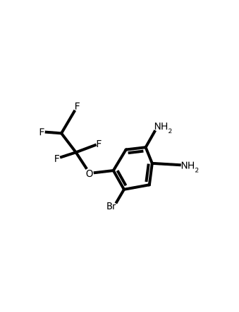 Nc1cc(Br)c(OC(F)(F)C(F)F)cc1N